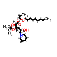 CCCCCCCCCOC(CC)O[C@H]1O[C@H]([C@H](O)CN2CCCCC2)[C@@H]2OC(C)(C)O[C@H]12